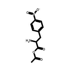 CC(=O)OC(=O)C(N)Cc1ccc([N+](=O)[O-])cc1